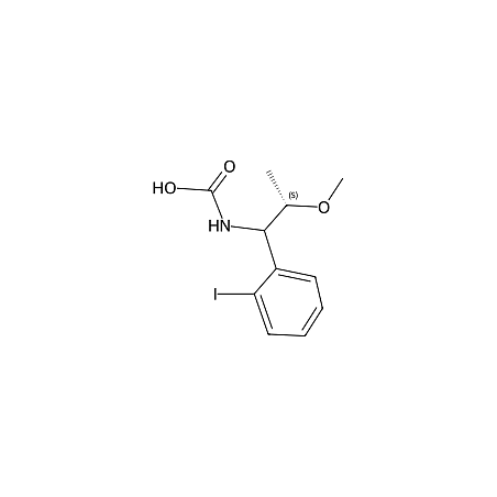 CO[C@@H](C)C(NC(=O)O)c1ccccc1I